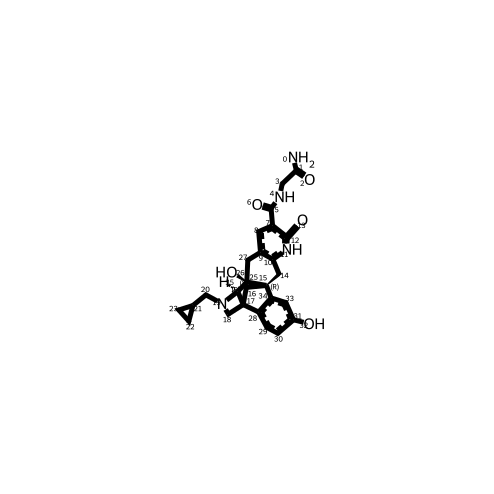 NC(=O)CNC(=O)c1cc2c([nH]c1=O)C[C@@]13CC4(CN(CC5CC5)[C@H]4[C@]1(O)C2)c1ccc(O)cc13